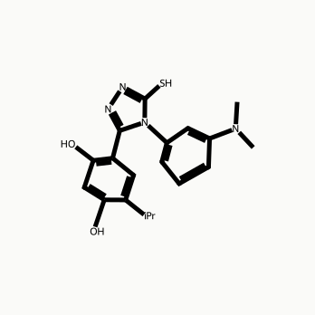 CC(C)c1cc(-c2nnc(S)n2-c2cccc(N(C)C)c2)c(O)cc1O